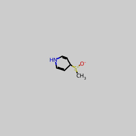 C[S+]([O-])C1C=CNC=C1